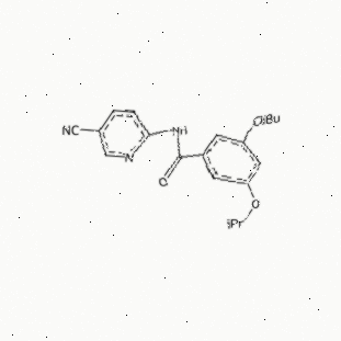 CC(C)COc1cc(OC(C)C)cc(C(=O)Nc2ccc(C#N)cn2)c1